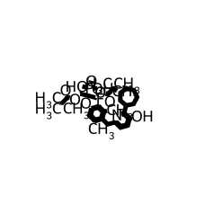 Cc1cc(OC(COC(=O)C(C)(C)C)(COC(=O)C(C)(C)C)P(=O)(O)O)c(F)c(C)c1Cc1ccc(O)c(C2CCCCCC2)n1